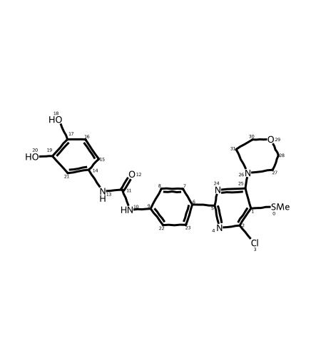 CSc1c(Cl)nc(-c2ccc(NC(=O)Nc3ccc(O)c(O)c3)cc2)nc1N1CCOCC1